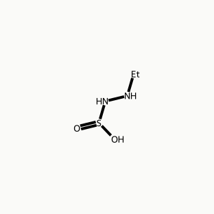 CCNNS(=O)O